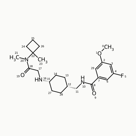 COc1cc(F)cc(C(=O)NC[C@H]2CC[C@@H](NCC(=O)N(C)C3(C)CCC3)CC2)c1